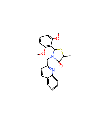 COc1cccc(OC)c1C1SC(C)C(=O)N1Cc1ccc2ccccc2n1